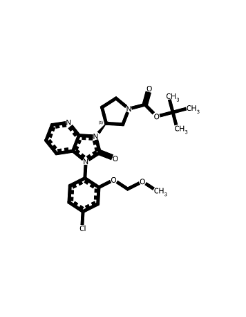 COCOc1cc(Cl)ccc1-n1c(=O)n([C@H]2CCN(C(=O)OC(C)(C)C)C2)c2ncccc21